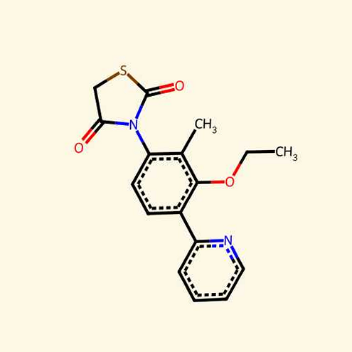 CCOc1c(-c2ccccn2)ccc(N2C(=O)CSC2=O)c1C